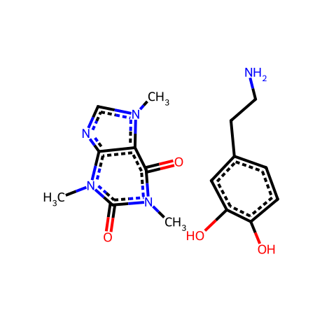 Cn1c(=O)c2c(ncn2C)n(C)c1=O.NCCc1ccc(O)c(O)c1